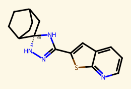 c1cnc2sc(C3=NN[C@]4(CC5CCC4CC5)N3)cc2c1